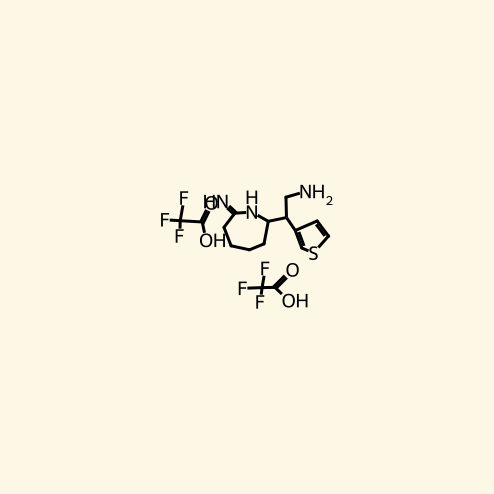 N=C1CCCCC(C(CN)c2ccsc2)N1.O=C(O)C(F)(F)F.O=C(O)C(F)(F)F